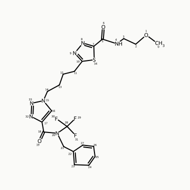 COCCNC(=O)c1nnc(CCCCn2cc(C(=O)N(Cc3ccccc3)C(F)(F)F)nn2)s1